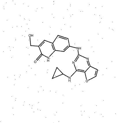 O=c1[nH]c2cc(Nc3nc(NC4CC4)c4occc4n3)ccc2cc1CO